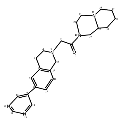 O=C(CN1CCc2cc(-c3cncnc3)ccc2C1)N1CCN2CCCCC2C1